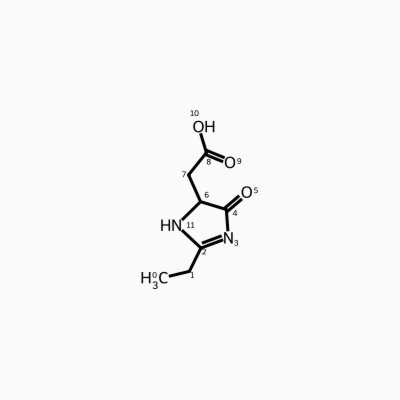 CCC1=NC(=O)C(CC(=O)O)N1